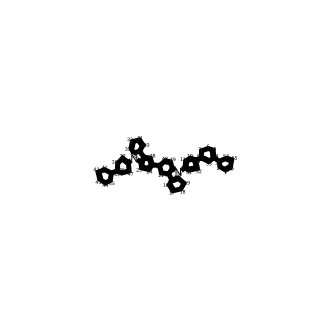 C1=CCC(C2=CCCC(c3ccc(N4C5=C(C=CCC5)C5CC(c6ccc7c(c6)C6C=CC=CC6N7C6=CCC(C7CC=CCC7)CC6)C=CC54)cc3)=C2)C=C1